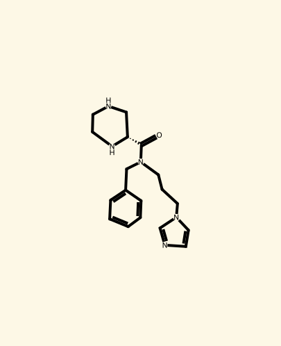 O=C([C@H]1CNCCN1)N(CCCn1ccnc1)Cc1ccccc1